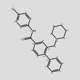 O=C(Nc1ccc(Cl)nc1)c1ccc(-c2ccccc2)c(CN2CCCCC2)c1